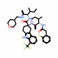 C=C(N[C@]1(C(=O)N[C@H](C(=C)NCC2CCOCC2)C(C)CC)CCc2[nH]c3c(C(F)(F)F)cccc3c2C1)[C@@H](NC(=O)Cc1ccccc1F)C(C)CC